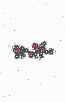 Cc1cccc(-c2ccc3c4ccccc4n(-c4cc(C(F)(F)F)cc(-n5c6ccccc6c6ccc(-c7cccc(Cc8c(-c9ccccc9C)ccc9c8c8cc(-c%10ccccc%10C)ccc8n9-c8cc(C(F)(F)F)cc(-n9c%10ccc(-c%11ccccc%11C)cc%10c%10cc(-c%11ccccc%11C)ccc%109)c8-c8cccc(-c9ccccc9)n8)c7)cc65)c4-c4cccc(-c5ccccc5)n4)c3c2)c1